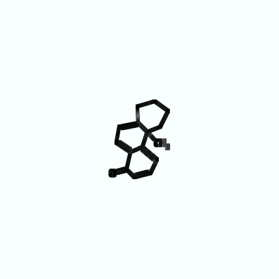 CC12CCCCC1=CC=C1C(=O)C=CC=C12